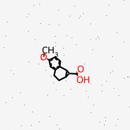 COc1ccc2c(c1)CCC1C(C(=O)O)C21